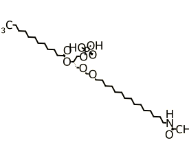 CCCCCCCCCCCC(=O)O[C@@H](COCOCCCCCCCCCCCCCCCNC(C)=O)COP(=O)(O)O